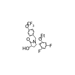 CCOc1cc(F)cc(F)c1[C@@H]1C[C@@H](O)C(=O)N1Cc1ccc(OC(F)(F)F)cc1